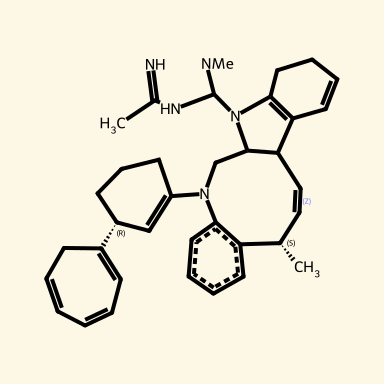 CNC(NC(C)=N)N1C2=C(C=CCC2)C2/C=C\[C@H](C)c3ccccc3N(C3=C[C@H](C4=CC=CC=CC4)CCC3)CC21